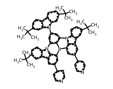 CC(C)(C)c1ccc2c(c1)c1cc(-c3ccncc3)cc3c1n2-c1cc(-n2c4cc(C(C)(C)C)ccc4c4ccc(C(C)(C)C)cc42)cc2c1B3c1cc(-c3ccncc3)cc3c4cc(C(C)(C)C)ccc4n-2c13